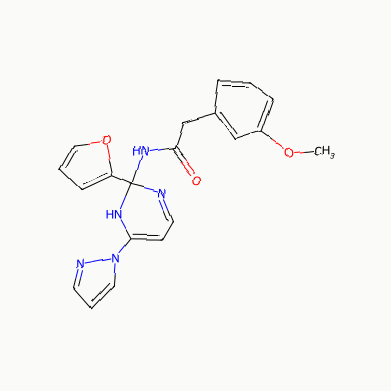 COc1cccc(CC(=O)NC2(c3ccco3)N=CC=C(n3cccn3)N2)c1